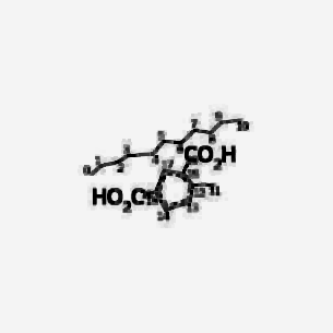 CCCCCCCCCCC.Cc1ccc(C(=O)O)cc1C(=O)O